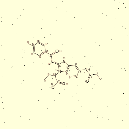 CCC(=O)Nc1ccc2c(c1)sc(=NC(=O)c1ccc(C)cc1)n2C(CC)C(=O)O